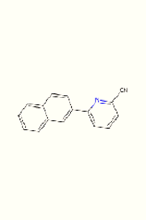 N#Cc1cccc(-c2ccc3cc[c]cc3c2)n1